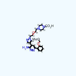 COCOc1ccccc1-c1cc(-c2cnn(CCOCCN3CCN(C(=O)O)CC3)c2)c(N)nn1